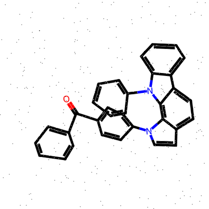 O=C(c1ccccc1)c1ccc(-n2ccc3ccc4c5ccccc5n(-c5ccccc5)c4c32)cc1